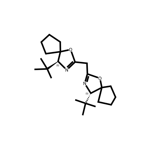 CC(C)(C)[C@@H]1N=C(CC2=N[C@@H](C(C)(C)C)C3(CCCC3)O2)OC12CCCC2